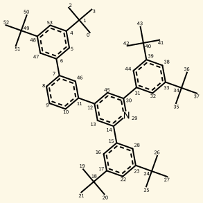 CC(C)(C)c1cc(-c2cccc(-c3cc(-c4cc(C(C)(C)C)cc(C(C)(C)C)c4)nc(-c4cc(C(C)(C)C)cc(C(C)(C)C)c4)c3)c2)cc(C(C)(C)C)c1